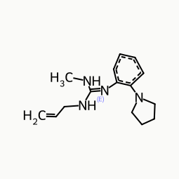 C=CCN/C(=N/c1ccccc1N1CCCC1)NC